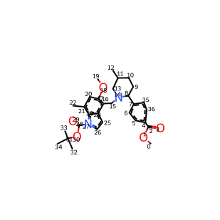 COC(=O)c1ccc(C2CCC(C)CN2Cc2c(OC)cc(C)c3c2ccn3C(=O)OC(C)(C)C)cc1